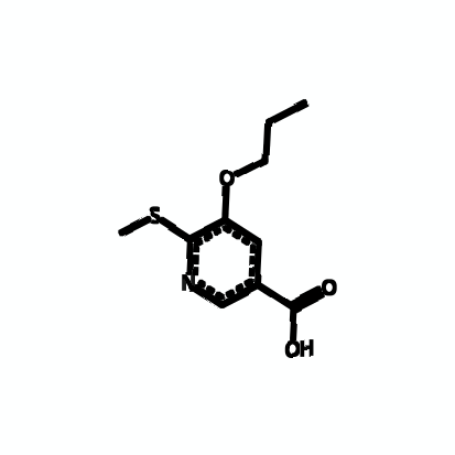 CCCOc1cc(C(=O)O)cnc1SC